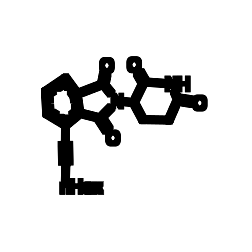 CCCCCCC#Cc1cccc2c1C(=O)N(C1CCC(=O)NC1=O)C2=O